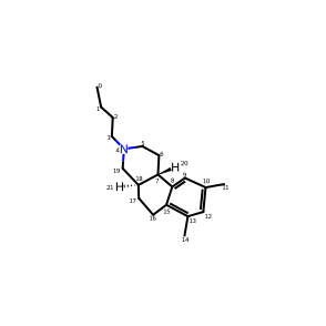 CCCCN1CC[C@@H]2c3cc(C)cc(C)c3CC[C@H]2C1